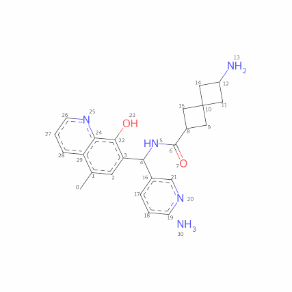 Cc1cc(C(NC(=O)C2CC3(CC(N)C3)C2)c2cccnc2)c(O)c2ncccc12.N